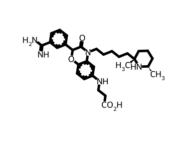 C[C@H]1CCC[C@@](C)(CCCCCN2C(=O)C(c3cccc(C(=N)N)c3)Oc3ccc(NCCC(=O)O)cc32)N1